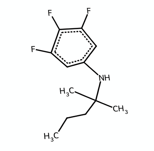 CCCC(C)(C)Nc1cc(F)c(F)c(F)c1